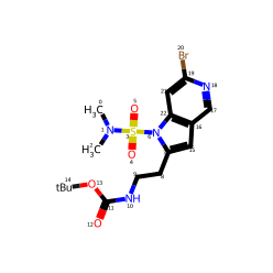 CN(C)S(=O)(=O)n1c(CCNC(=O)OC(C)(C)C)cc2cnc(Br)cc21